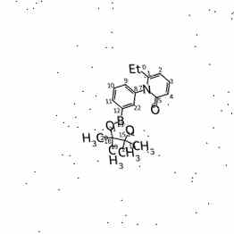 CCc1cccc(=O)n1-c1cccc(B2OC(C)(C)C(C)(C)O2)c1